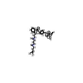 C#COP(=O)(OCC)OCc1ccc(OC(=O)c2ccccc2SC/C=C(\C)CC/C=C(\C)CCC=C(C)C)cc1